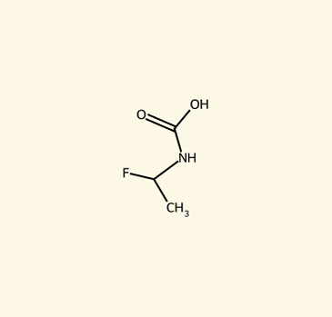 CC(F)NC(=O)O